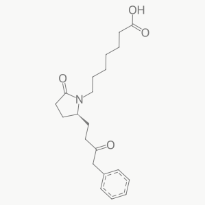 O=C(O)CCCCCCN1C(=O)CC[C@@H]1CCC(=O)Cc1ccccc1